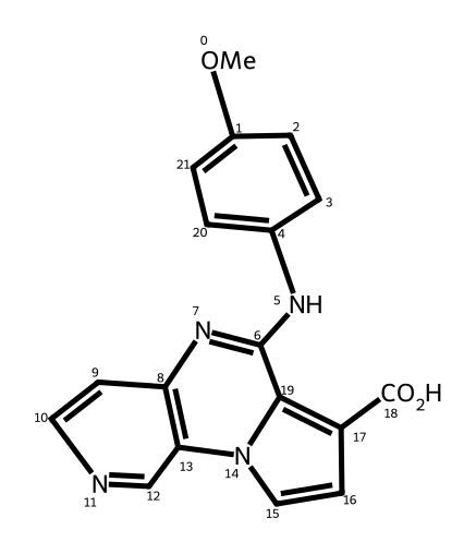 COc1ccc(Nc2nc3ccncc3n3ccc(C(=O)O)c23)cc1